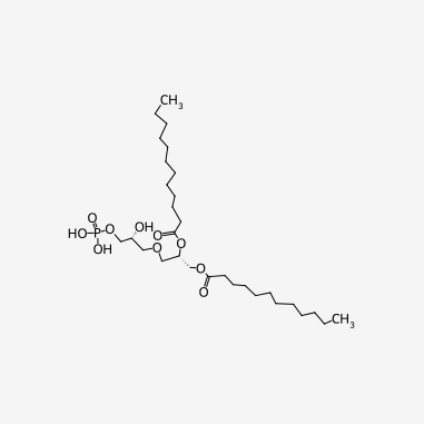 CCCCCCCCCCCC(=O)OC[C@H](COC[C@@H](O)COP(=O)(O)O)OC(=O)CCCCCCCCCCC